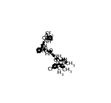 Cc1sc2c(c1C)C(c1ccc(Cl)cc1)=N[C@@H](CC(=O)NCCNC(=O)CSc1nc3ccccc3c3cc(CNC(=O)c4ccccc4OC(F)(F)F)nn13)c1nnc(C)n1-2